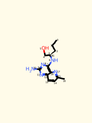 CCC[C@H](CO)Nc1nc(N)nc2ccc(C)nc12